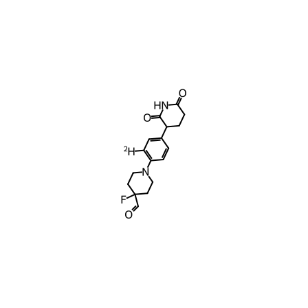 [2H]c1cc(C2CCC(=O)NC2=O)ccc1N1CCC(F)(C=O)CC1